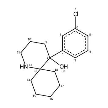 OC1(c2cccc(Cl)c2)CCCNC12CCCCC2